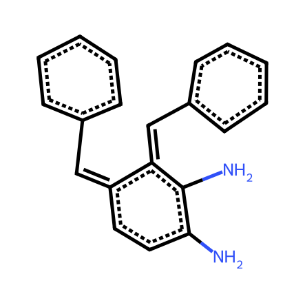 Nc1ccc(=Cc2ccccc2)c(=Cc2ccccc2)c1N